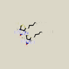 O=C(O)CCCC[C@@H]1SC[C@@H]2NC(=O)N[C@@H]21.O=C(O)CCCC[C@@H]1SC[C@@H]2NC(=O)N[C@@H]21.S